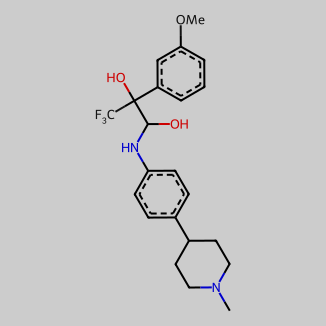 COc1cccc(C(O)(C(O)Nc2ccc(C3CCN(C)CC3)cc2)C(F)(F)F)c1